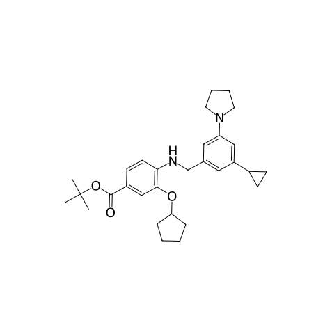 CC(C)(C)OC(=O)c1ccc(NCc2cc(C3CC3)cc(N3CCCC3)c2)c(OC2CCCC2)c1